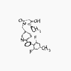 Cc1cc(F)c(Oc2ccc(CN3C(=O)C[C@H](O)[C@@H]3C)cn2)c(F)c1